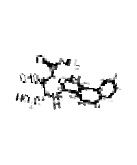 NC(=O)CC(C=O)[C@H](Nc1onc2c1ccc1ccccc12)C(=O)O